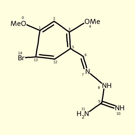 COc1cc(OC)c(C=NNC(=N)N)cc1Br